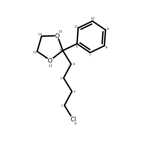 ClCCCCC1(c2ccccc2)OCCO1